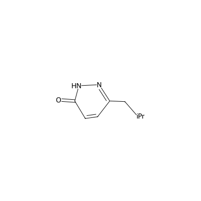 CC(C)Cc1ccc(=O)[nH]n1